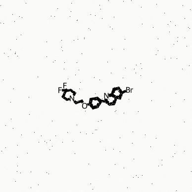 FC1(F)CCN(CCOc2ccc(-c3ccc4cc(Br)ccc4n3)cc2)CC1